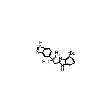 CC(C)(C)c1cccc2[nH]c(CC(C)(C)c3ccc4[nH]cnc4c3)nc12